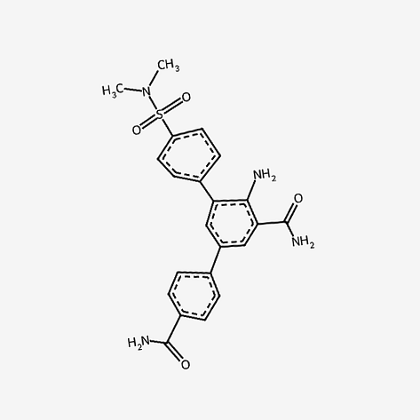 CN(C)S(=O)(=O)c1ccc(-c2cc(-c3ccc(C(N)=O)cc3)cc(C(N)=O)c2N)cc1